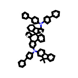 CC1(C)c2ccccc2-c2ccc(N(c3ccc(-c4ccccc4)cc3)c3ccc4c(c3)-c3ccccc3C3(C5=C(CCC=C5)c5c(N(c6ccc(-c7ccccc7)cc6)c6ccc(-c7ccccc7)cc6)cccc53)c3ccccc3-4)cc21